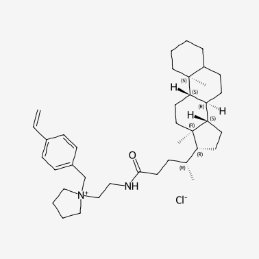 C=Cc1ccc(C[N+]2(CCNC(=O)CC[C@@H](C)[C@H]3CC[C@H]4[C@@H]5CCC6CCCC[C@]6(C)[C@H]5CC[C@]34C)CCCC2)cc1.[Cl-]